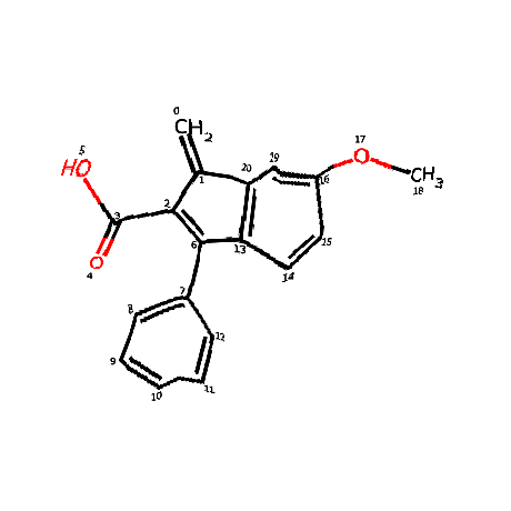 C=C1C(C(=O)O)=C(c2ccccc2)c2ccc(OC)cc21